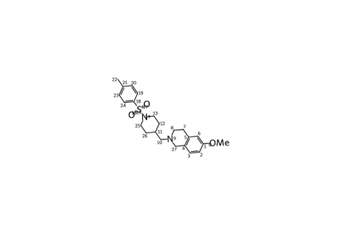 COc1ccc2c(c1)CCN(CC1CCN(S(=O)(=O)c3ccc(C)cc3)CC1)C2